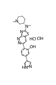 CN1CCC[C@H](N(C)c2nc3nnc(-c4ccc(-c5cn[nH]c5)cc4O)cc3s2)C1.Cl.Cl